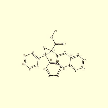 COC(=O)C1(c2ccc3ccccc3c2)CC1(c1ccccc1)c1ccccc1